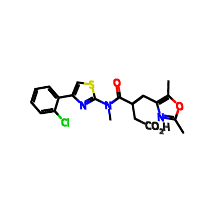 Cc1nc(CC(CC(=O)O)C(=O)N(C)c2nc(-c3ccccc3Cl)cs2)c(C)o1